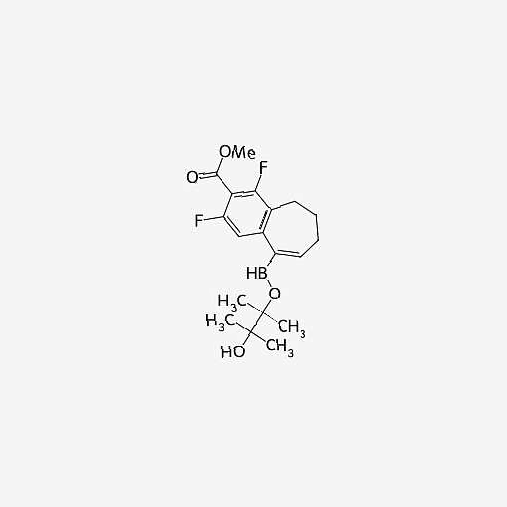 COC(=O)c1c(F)cc2c(c1F)CCCC=C2BOC(C)(C)C(C)(C)O